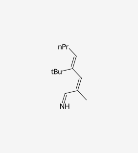 CCC/C=C(/C=C(/C)C=N)C(C)(C)C